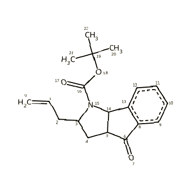 C=CCC1CC2C(=O)c3ccccc3C2N1C(=O)OC(C)(C)C